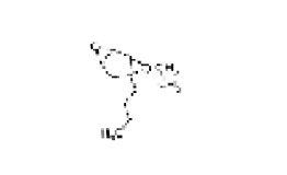 C=C.CCCCC12CC3OC3C1O2